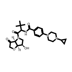 CC(C)(C)C(NC(=O)c1ccc(N2CCN(C3CC3)CC2)cc1)C(=O)N1C[C@@H](O)[C@H]2OCC(=O)[C@H]21